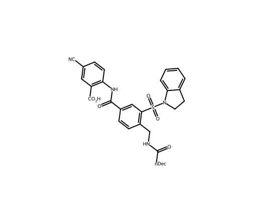 CCCCCCCCCCC(=O)NCc1ccc(C(=O)Nc2ccc(C#N)cc2C(=O)O)cc1S(=O)(=O)N1CCc2ccccc21